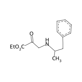 CCOC(=O)C(=O)CNC(C)Cc1ccccc1